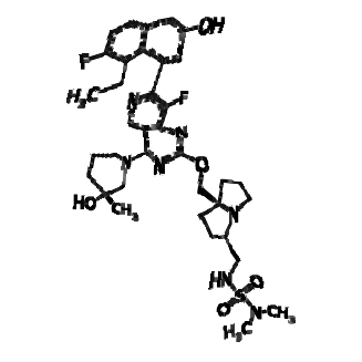 CCc1c(F)ccc2cc(O)cc(-c3ncc4c(N5CCC[C@@](C)(O)C5)nc(OC[C@@]56CCCN5[C@@H](CNS(=O)(=O)N(C)C)CC6)nc4c3F)c12